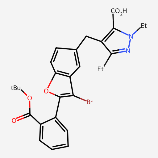 CCc1nn(CC)c(C(=O)O)c1Cc1ccc2oc(-c3ccccc3C(=O)OC(C)(C)C)c(Br)c2c1